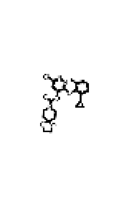 Cc1cccc(C2CC2)c1Oc1nnc(Cl)cc1OC(=O)N1CCC2(CC1)OCCO2